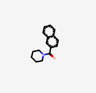 O=C(c1[c]cc2ccccc2c1)N1CCCCC1